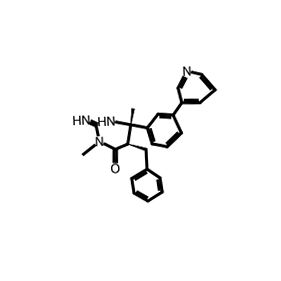 CN1C(=N)N[C@](C)(c2cccc(-c3cccnc3)c2)[C@@H](Cc2ccccc2)C1=O